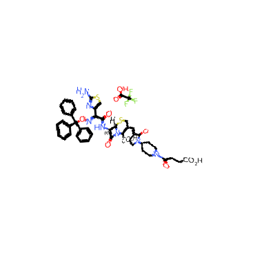 Nc1nc(C(=NOC(c2ccccc2)(c2ccccc2)c2ccccc2)C(=O)N[C@@H]2C(=O)N3C(C(=O)O)=C(C=C4CCN(C5CCN(C(=O)CCC(=O)O)CC5)C4=O)CS[C@H]23)cs1.O=C(O)C(F)(F)F